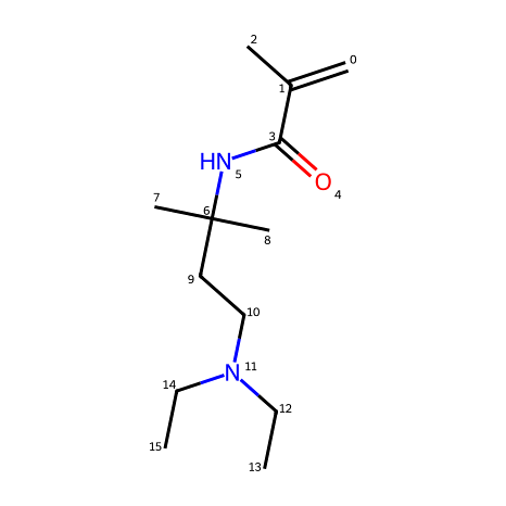 C=C(C)C(=O)NC(C)(C)CCN(CC)CC